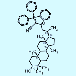 C[C@H](CC(=O)C(C#N)=P(c1ccccc1)(c1ccccc1)c1ccccc1)[C@H]1CC[C@@]2(C)C3CCC4C(C)(C)[C@@H](O)CC[C@]4(C)C3CC[C@]12C